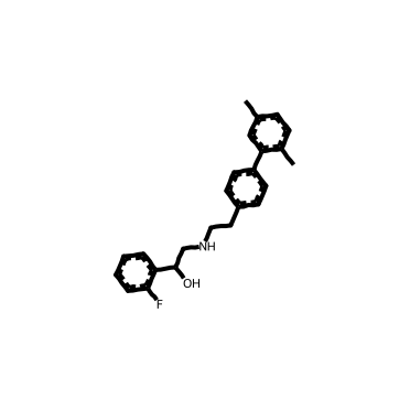 Cc1ccc(C)c(-c2ccc(CCNCC(O)c3ccccc3F)cc2)c1